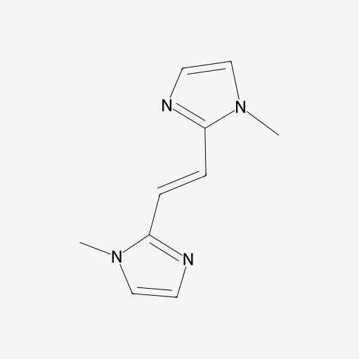 Cn1ccnc1/C=C/c1nccn1C